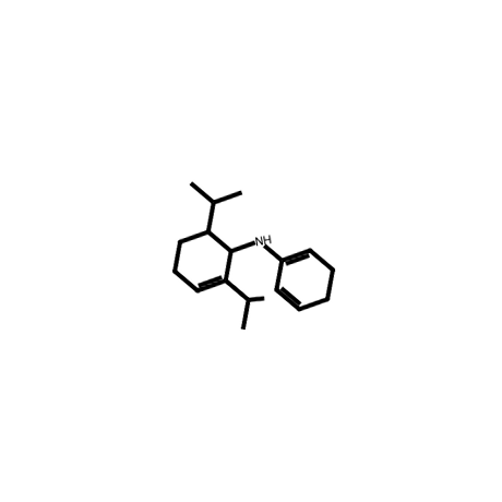 CC(C)C1=CCCC(C(C)C)C1NC1=CCCC=C1